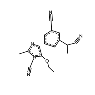 CC(C#N)c1cccc(C#N)c1.CCOc1cnc(C)n1C#N